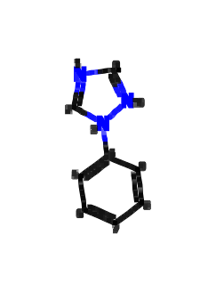 [c]1ncn(-c2ccccc2)n1